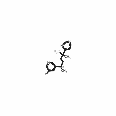 C[C@H](CCC(C)(C)c1ccncn1)c1cncc(F)c1